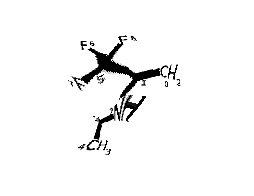 C=C(NCC)C(F)(F)F